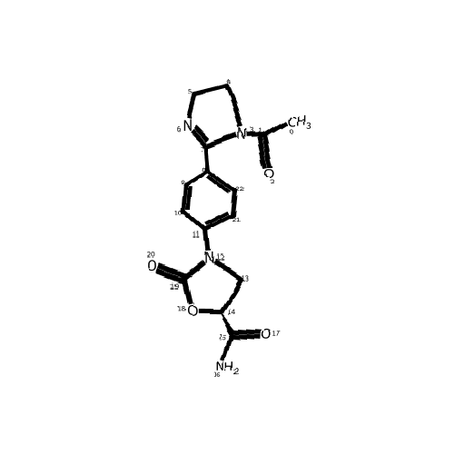 CC(=O)N1CCN=C1c1ccc(N2C[C@@H](C(N)=O)OC2=O)cc1